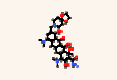 CN(C)c1cc(CN2CCC3(CC2)OCCO3)c(O)c2c1CC1CC3C(C(O)=C1C2=O)C(C)(O)C(C(N)=O)=C(O)[C@H]3N(C)C